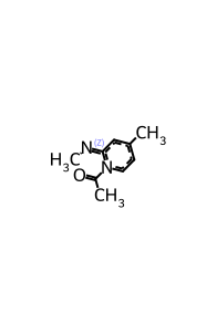 C/N=c1/cc(C)ccn1C(C)=O